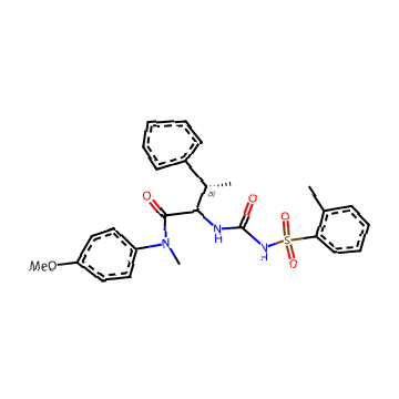 COc1ccc(N(C)C(=O)C(NC(=O)NS(=O)(=O)c2ccccc2C)[C@@H](C)c2ccccc2)cc1